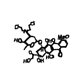 COc1cccc2c1C(=O)c1c(O)c3c(c(O)c1C2=O)C[C@@](O)(C(=O)CO)C[C@@H]3OC1CC(N(CCCl)CCCl)C(O)C(C)O1